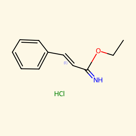 CCOC(=N)/C=C/c1ccccc1.Cl